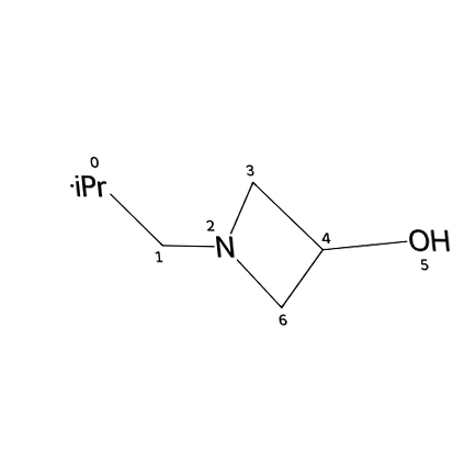 C[C](C)CN1CC(O)C1